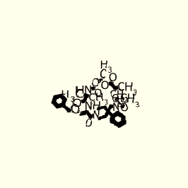 CC(OC(=O)NC(C)(C)C(=O)NC(COCc1ccccc1)C(=O)N1CCC2(CC1)CN(S(C)(=O)=O)c1ccccc12)OC(=O)C(C)C